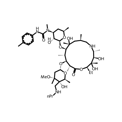 CCCNC[C@]1(O)[C@H](C)O[C@@H](O[C@H]2[C@H](C)[C@@H](O[C@@H]3O[C@H](C)C[C@H](N(C)C(=O)Nc4ccc(C)cc4)[C@H]3O)[C@](C)(O)C[C@@H](C)CN[C@H](C)[C@@H](O)[C@](C)(O)[C@@H](CC)OC(=O)[C@@H]2C)C[C@@]1(C)OC